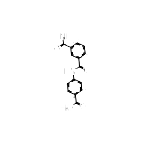 NC(=O)c1cccc(C(=O)Nc2ccc(C(=O)O)cc2)c1